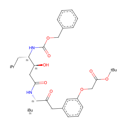 CC[C@H](C)[C@H](NC(=O)C[C@H](O)[C@H](CC(C)C)NC(=O)OCc1ccccc1)C(=O)[CH]c1cccc(OCC(=O)OC(C)(C)C)c1